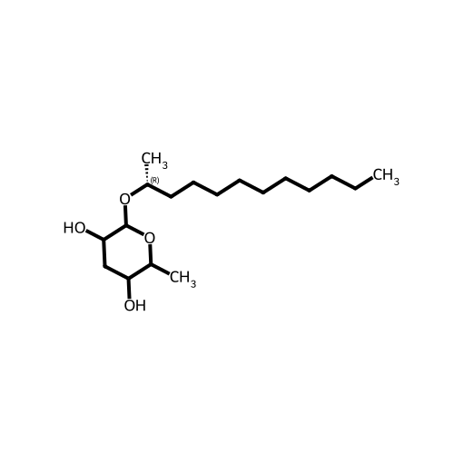 CCCCCCCCCC[C@@H](C)OC1OC(C)C(O)CC1O